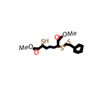 COC1OC1C(S)CCCC(SC1SC1c1ccccc1)C1OC1OC